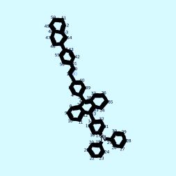 C(=C\c1ccc(-c2c3ccccc3c(-c3ccc(N(c4ccccc4)c4ccccc4)cc3)c3ccccc23)cc1)/c1ccc(-c2ccc3ccccc3c2)cc1